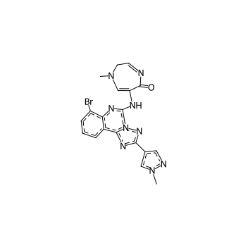 CN1C=C(Nc2nc3c(Br)cccc3c3nc(-c4cnn(C)c4)nn23)C(=O)N=CC1